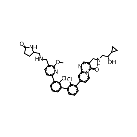 COc1nc(-c2cccc(-c3cccc(-c4ccn5c(=O)c(CNC[C@H](O)C6CC6)cnc5c4)c3Cl)c2Cl)ccc1CNCC1CCC(=O)N1